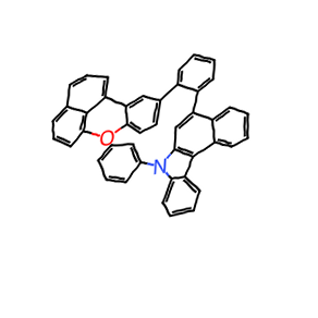 c1ccc(-n2c3ccccc3c3c4ccccc4c(-c4ccccc4-c4ccc5c(c4)-c4cccc6cccc(c46)O5)cc32)cc1